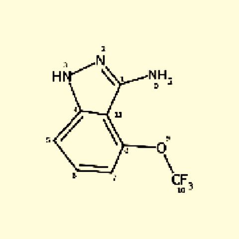 Nc1n[nH]c2cccc(OC(F)(F)F)c12